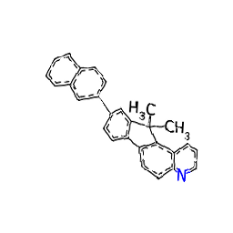 CC1(C)c2cc(-c3ccc4ccccc4c3)ccc2-c2ccc3ncccc3c21